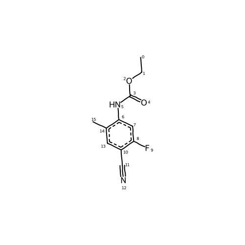 CCOC(=O)Nc1cc(F)c(C#N)cc1C